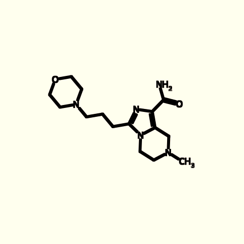 CN1CCn2c(CCCN3CCOCC3)nc(C(N)=O)c2C1